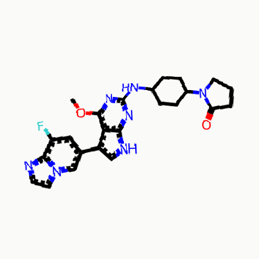 COc1nc(NC2CCC(N3CCCC3=O)CC2)nc2[nH]cc(-c3cc(F)c4nccn4c3)c12